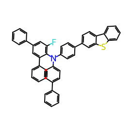 Fc1cc(-c2ccccc2)cc(-c2ccccc2)c1N(c1ccc(-c2ccccc2)cc1)c1ccc(-c2ccc3c(c2)sc2ccccc23)cc1